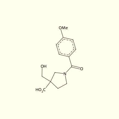 COc1ccc(C(=O)N2CCC(CO)(C(=O)O)C2)cc1